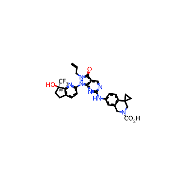 C=CCn1c(=O)c2cnc(Nc3ccc4c(c3)CN(C(=O)O)CC43CC3)nc2n1-c1ccc2c(n1)[C@@](O)(C(F)(F)F)CC2